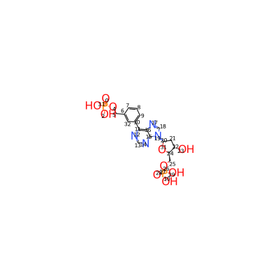 O=P(O)(O)OCc1cccc(-c2ncnc3c2ncn3[C@H]2C[C@H](O)[C@@H](COP(=O)(O)O)O2)c1